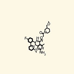 COCC1CCCN(C(=O)CON=C2NC(c3ccc(F)cc3-c3cccc(OC)n3)Cc3nc(N)nc(C)c32)C1